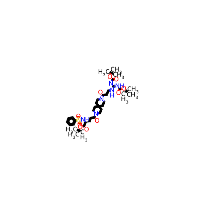 CC(C)(C)OC(=O)N=C(NCCC(=O)N1CCC2(CC1)CCN(C(=O)CC[C@H](NS(=O)(=O)c1ccccc1)C(=O)OC(C)(C)C)CC2)NC(=O)OC(C)(C)C